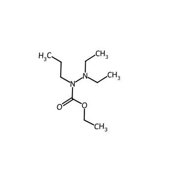 CCCN(C(=O)OCC)N(CC)CC